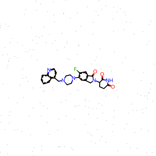 O=C1CCC(N2Cc3cc(N4CCN(Cc5ccnc6ccccc56)CC4)c(F)cc3C2=O)C(=O)N1